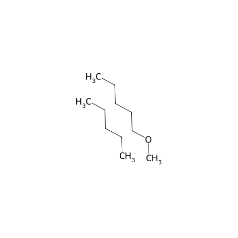 CCCCC.CCCCCOC